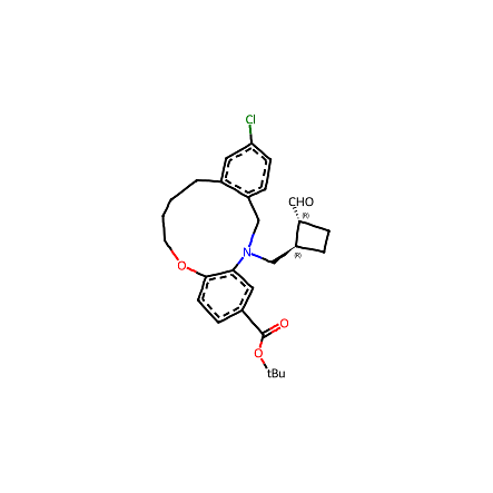 CC(C)(C)OC(=O)c1ccc2c(c1)N(C[C@@H]1CC[C@H]1C=O)Cc1ccc(Cl)cc1CCCCO2